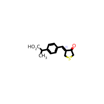 CC(C(=O)O)c1ccc(/C=C2\CSCC2=O)cc1